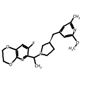 COc1cc(C[C@H]2CCN(C(C)c3nc4c(cc3F)OCCO4)C2)cc(C)n1